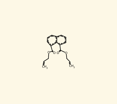 C=CCOC(=O)c1cccc2cccc(C(=O)OCC=C)c12